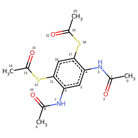 CC(=O)Nc1cc(NC(C)=O)c(SC(C)=O)cc1SC(C)=O